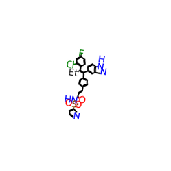 CCC(=C(c1ccc(C=CC(=O)NS(=O)(=O)c2cccnc2)cc1)c1ccc2[nH]ncc2c1)c1ccc(F)cc1Cl